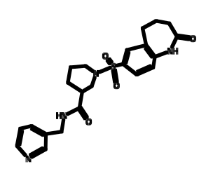 O=C1CCCc2cc(S(=O)(=O)N3CCCC(C(=O)NCc4cccnc4)C3)ccc2N1